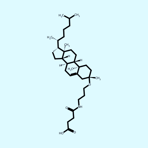 CC(C)CCC[C@@H](C)[C@H]1CC[C@H]2[C@@H]3CC=C4C[C@@](C)(OCCCNC(=O)CCC(=O)O)CC[C@]4(C)[C@H]3CC[C@]12C